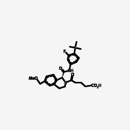 COCc1ccc2c(c1)CCN(C(=O)CCCC(=O)O)[C@H]2C(=O)Nc1ccc(S(C)(C)C)c(F)c1